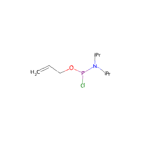 C=CCOP(Cl)N(C(C)C)C(C)C